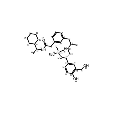 C[C@H](Cc1cccc(CC(=O)N[C@@H](C)C2CCCCC2)c1)NC[C@@H](O[Si](C)(C)C(C)(C)C)c1ccc(O)c(CO)c1